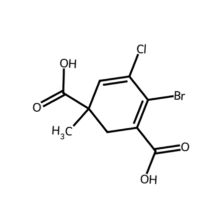 CC1(C(=O)O)C=C(Cl)C(Br)=C(C(=O)O)C1